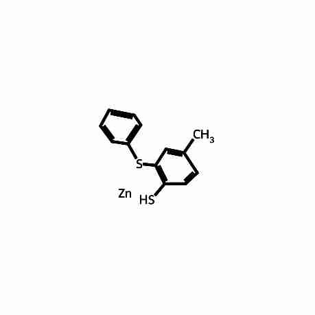 Cc1ccc(S)c(Sc2ccccc2)c1.[Zn]